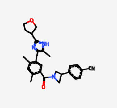 Cc1cc(C)c(-c2nc(C3CCOC3)[nH]c2C)cc1C(=O)N1CC(c2ccc(C#N)cc2)C1